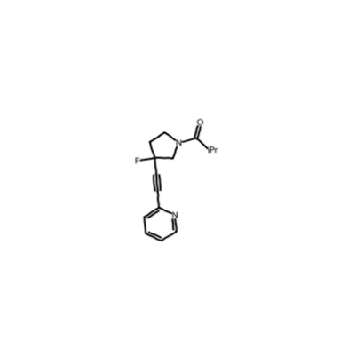 CC(C)C(=O)N1CCC(F)(C#Cc2ccccn2)C1